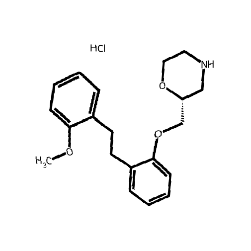 COc1ccccc1CCc1ccccc1OC[C@H]1CNCCO1.Cl